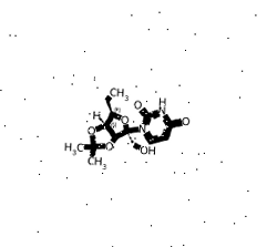 CC[C@H]1O[C@@](CO)(n2ccc(=O)[nH]c2=O)C2OC(C)(C)O[C@H]21